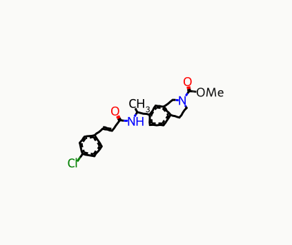 COC(=O)N1CCc2ccc(C(C)NC(=O)C=Cc3ccc(Cl)cc3)cc2C1